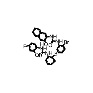 O=C(Nc1cc2ccccc2cc1O)Nc1ccccc1Br.O=C(Nc1ccc(F)cc1O)Nc1ccccc1Br